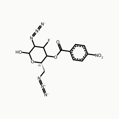 [N-]=[N+]=NC[C@@H]1OC(O)C(N=[N+]=[N-])C(F)C1OC(=O)c1ccc([N+](=O)[O-])cc1